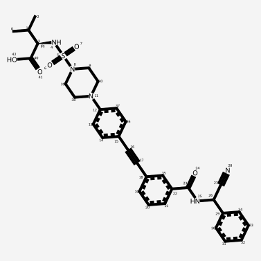 CC(C)[C@@H](NS(=O)(=O)N1CCN(c2ccc(C#Cc3cccc(C(=O)NC(C#N)c4ccccc4)c3)cc2)CC1)C(=O)O